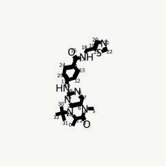 CC1C(=O)N(C)c2cnc(Nc3ccc(C(=O)NCc4cncs4)cc3)nc2N1C(C)(C)C